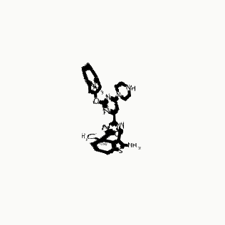 CN1C2CCC1CC(Oc1nc(-c3noc([C@@]4(C)CCCc5sc(N)c(C#N)c54)n3)cc(N3CCNCC3)n1)C2